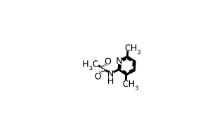 Cc1ccc(C)c(NS(C)(=O)=O)n1